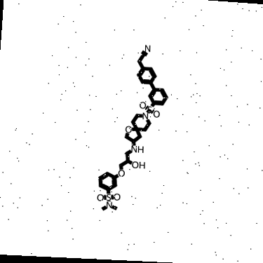 CN(C)S(=O)(=O)c1cccc(OCC(O)CNC2COC3(CCN(S(=O)(=O)c4cccc(-c5ccc(CC#N)cc5)c4)CC3)C2)c1